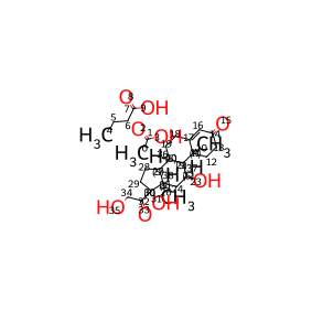 CC(=O)O.CCCC(=O)O.C[C@]12CCC(=O)C=C1CC[C@@H]1[C@@H]2[C@@H](O)C[C@@]2(C)[C@H]1CC[C@]2(O)C(=O)CO